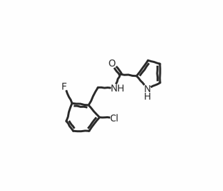 O=C(NCc1c(F)cccc1Cl)c1ccc[nH]1